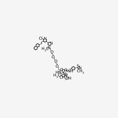 Cc1ncsc1-c1ccc(CNC(=O)[C@@H]2C[C@@H](O)CN2C(=O)[C@@H](NC(=O)CCOCCOCCOCCOCCN(C)c2cncc(-c3cnc(Cl)c(/C=C/c4ccc5ccccc5c4)c3)c2)C(C)(C)C)cc1